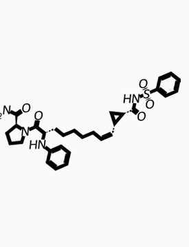 NC(=O)[C@@H]1CCCN1C(=O)[C@H](CCCCC/C=C\[C@@H]1C[C@@H]1C(=O)NS(=O)(=O)c1ccccc1)Nc1ccccc1